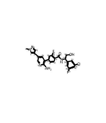 Cn1cc(-c2cnc(N)c(-c3ccc(C(=O)NC(CO)c4cc(F)cc(Cl)c4)c(F)c3)c2)cn1